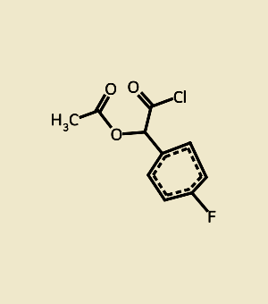 CC(=O)OC(C(=O)Cl)c1ccc(F)cc1